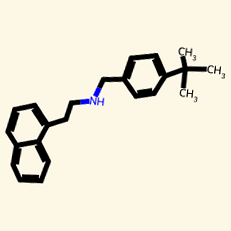 CC(C)(C)c1ccc(CNCCc2cccc3ccccc23)cc1